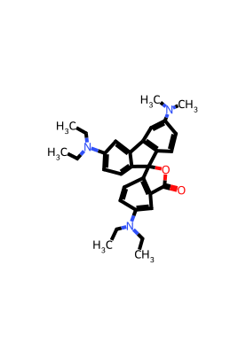 CCN(CC)c1ccc2c(c1)C(=O)OC21c2ccc(N(C)C)cc2-c2cc(N(CC)CC)ccc21